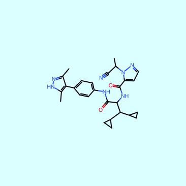 Cc1n[nH]c(C)c1-c1ccc(NC(=O)C(NC(=O)c2ccnn2C(C)C#N)C(C2CC2)C2CC2)cc1